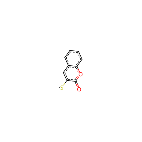 O=c1oc2ccccc2cc1[S]